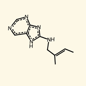 CC=C(C)CNc1nc2ncncc2[nH]1